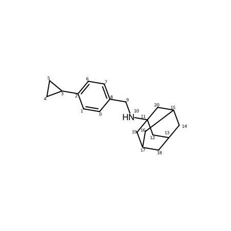 c1cc(C2CC2)ccc1CNC12CC3CC(CC(C3)C1)C2